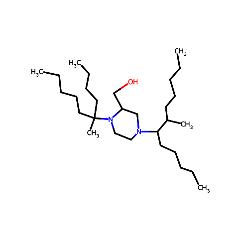 CCCCCC(C)C(CCCCC)N1CCN(C(C)(CCCC)CCCCC)C(CO)C1